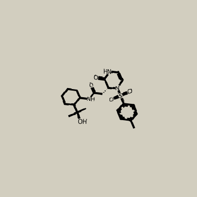 Cc1ccc(S(=O)(=O)N2C=CNC(=O)[C@H]2CC(=O)NC2CCCCC2C(C)(C)O)cc1